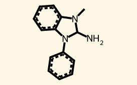 CN1c2ccccc2N(c2ccccc2)C1N